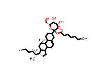 CCCCCCCCCCCCCCCC(=O)OC1(C2CC[C@@]3(C)C(=CCC4C3CC[C@@]3(C)C4CC[C@@H]3[C@H](C)CCCC(C)C)C2)O[C@H](CO)[C@H](O)[C@H](O)[C@H]1O